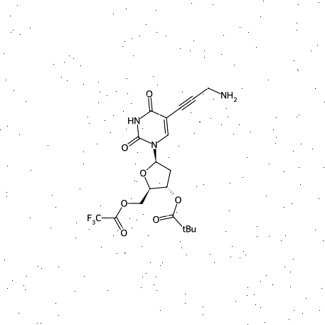 CC(C)(C)C(=O)O[C@H]1C[C@H](n2cc(C#CCN)c(=O)[nH]c2=O)O[C@@H]1COC(=O)C(F)(F)F